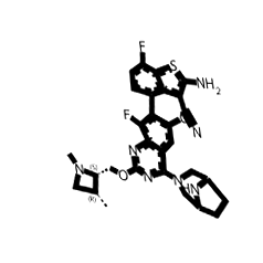 C[C@@H]1CN(C)[C@@H]1COc1nc(N2CC3CCC(C2)N3)c2cc(Cl)c(-c3ccc(F)c4sc(N)c(C#N)c34)c(F)c2n1